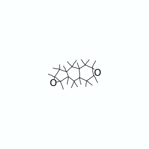 CC1(C)C2(C)OC2(C)C(C)(C)C2(C)C(C)(C)C3(C)C4(C)OC4(C)C(C)(C)C3(C)C(C)(C)C12C